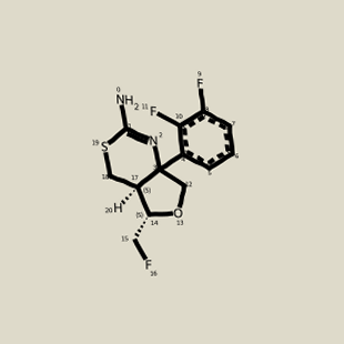 NC1=NC2(c3cccc(F)c3F)CO[C@H](CF)[C@H]2CS1